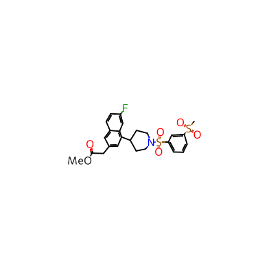 COC(=O)Cc1cc(C2CCN(S(=O)(=O)c3cccc(S(C)(=O)=O)c3)CC2)c2cc(F)ccc2c1